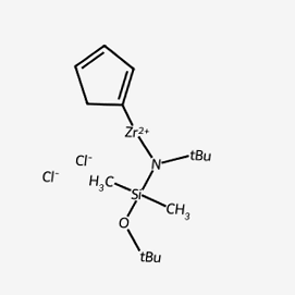 CC(C)(C)O[Si](C)(C)[N]([Zr+2][C]1=CC=CC1)C(C)(C)C.[Cl-].[Cl-]